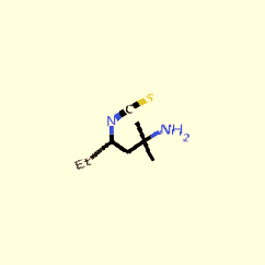 CCC(CC(C)(C)N)N=C=S